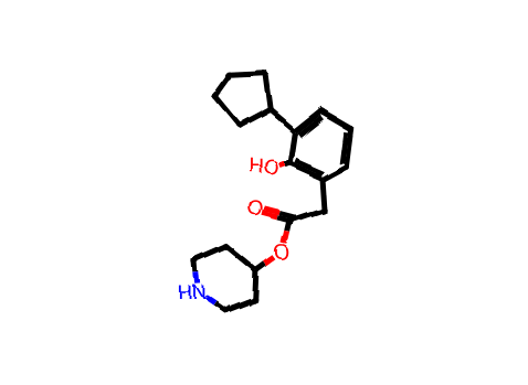 O=C(Cc1cccc(C2CCCC2)c1O)OC1CCNCC1